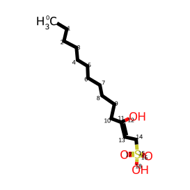 CCCCCCCCCCCC(O)=CCS(=O)(=O)O